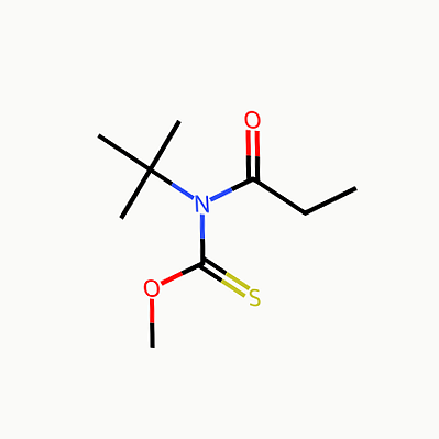 CCC(=O)N(C(=S)OC)C(C)(C)C